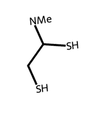 CNC(S)CS